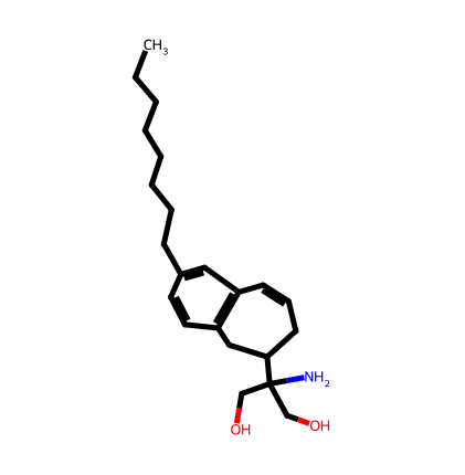 CCCCCCCCc1ccc2c(c1)C=CCC(C(N)(CO)CO)C2